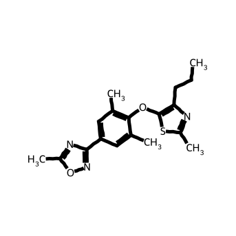 CCCc1nc(C)sc1Oc1c(C)cc(-c2noc(C)n2)cc1C